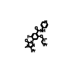 CC(C)C[C@H](C)Oc1cc(-n2nc(C(C)C)n(C)c2=O)c(F)cc1C(=O)Nc1ccncc1